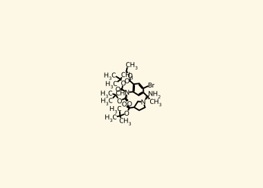 CCOC(=O)c1cc(Br)c([C@](C)(N)N2CCC(C(=O)OC(C)(C)C)C2)cc1N(C(=O)OC(C)(C)C)C(=O)OC(C)(C)C